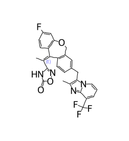 C/C(=C1/c2ccc(Cc3c(C)nc4c(C(F)(F)F)cccn34)cc2COc2cc(F)ccc21)c1noc(=O)[nH]1